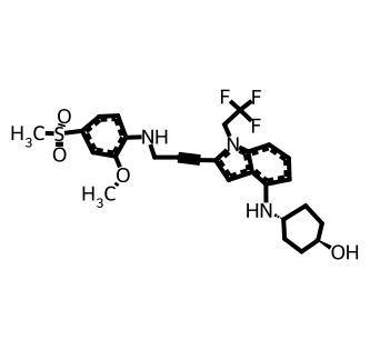 COc1cc(S(C)(=O)=O)ccc1NCC#Cc1cc2c(N[C@H]3CC[C@H](O)CC3)cccc2n1CC(F)(F)F